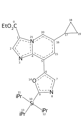 CCOC(=O)c1cnc2c(-c3cnc([Si](C(C)C)(C(C)C)C(C)C)o3)cc(C3CC3)cn12